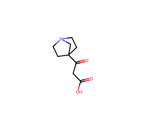 O=C(O)CC(=O)C12CCN(CC1)C2